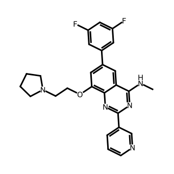 CNc1nc(-c2cccnc2)nc2c(OCCN3CCCC3)cc(-c3cc(F)cc(F)c3)cc12